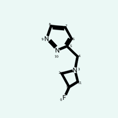 FC1CN(Cc2cccnn2)C1